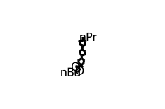 CCCCOC(=O)C1(C)CCC(C2CCC(c3ccc(CCC)cc3)CC2)CC1